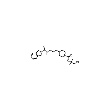 CC(C)(CO)OC(=O)N1CCC(CCCNC(=O)N2Cc3ccncc3C2)CC1